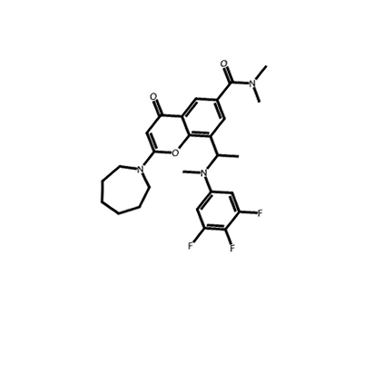 CC(c1cc(C(=O)N(C)C)cc2c(=O)cc(N3CCCCCC3)oc12)N(C)c1cc(F)c(F)c(F)c1